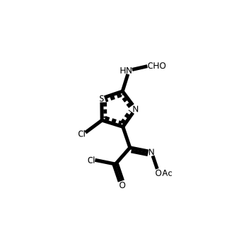 CC(=O)ON=C(C(=O)Cl)c1nc(NC=O)sc1Cl